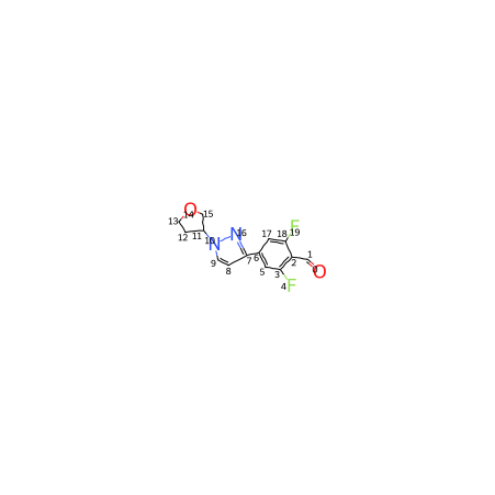 O=Cc1c(F)cc(-c2ccn(C3CCOC3)n2)cc1F